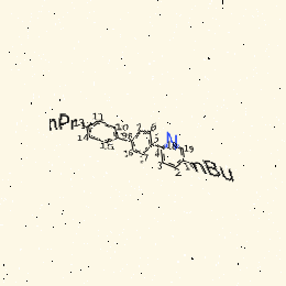 CCCCc1ccc(-c2ccc(-c3ccc(CCC)cc3)cc2)nc1